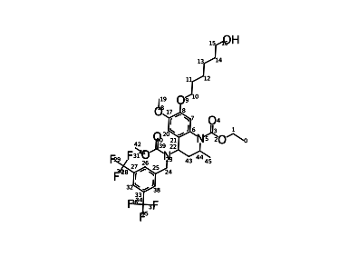 CCOC(=O)N1c2cc(OCCCCCCO)c(OC)cc2C(N(Cc2cc(C(F)(F)F)cc(C(F)(F)F)c2)C(=O)OC)CC1C